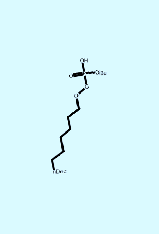 CCCCCCCCCCCCCCCCOOP(=O)(O)OCC(C)C